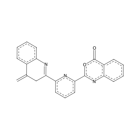 C=C1CC(c2cccc(-c3nc4ccccc4c(=O)o3)n2)=Nc2ccccc21